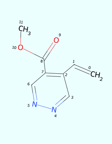 C=Cc1cnncc1C(=O)OC